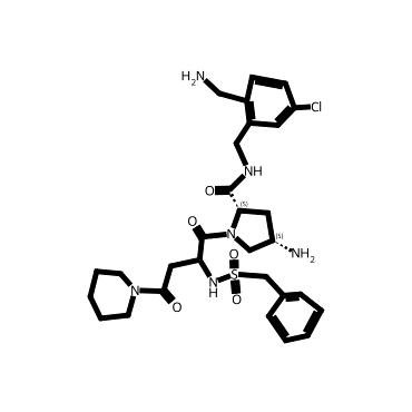 NCc1ccc(Cl)cc1CNC(=O)[C@@H]1C[C@H](N)CN1C(=O)C(CC(=O)N1CCCCC1)NS(=O)(=O)Cc1ccccc1